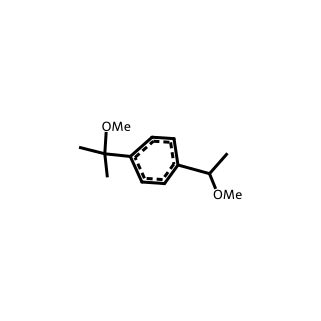 COC(C)c1ccc(C(C)(C)OC)cc1